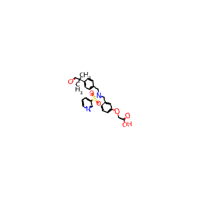 CC(C)(C=O)c1ccc(CN(Cc2cccc(OCC(=O)O)c2)S(=O)(=O)c2cccnc2)cc1